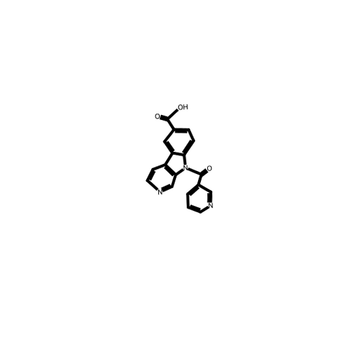 O=C(O)c1ccc2c(c1)c1ccncc1n2C(=O)c1cccnc1